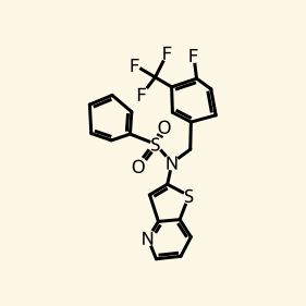 O=S(=O)(c1ccccc1)N(Cc1ccc(F)c(C(F)(F)F)c1)c1cc2ncccc2s1